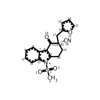 CS(=O)(=O)n1c2c(c3ccccc31)C(=O)[C@@](C#N)(Cc1ccco1)CC2